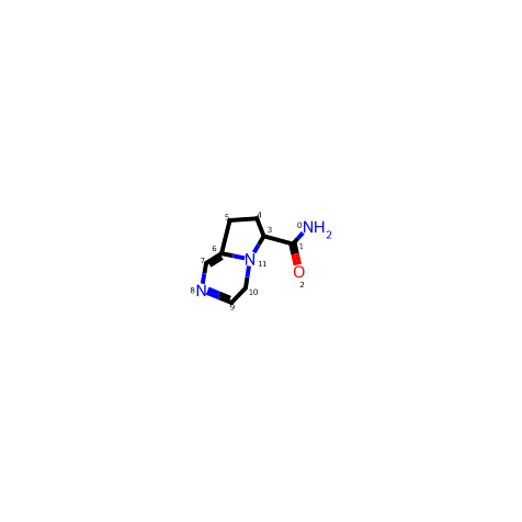 NC(=O)C1CCC2=CN=CCN21